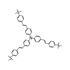 CS(C)(C)c1ccc(/C=C/c2ccc(N(c3ccc(/C=C/c4ccc(S(C)(C)C)cc4)cc3)c3ccc(/C=C/c4ccc(S(C)(C)C)cc4)cc3)cc2)cc1